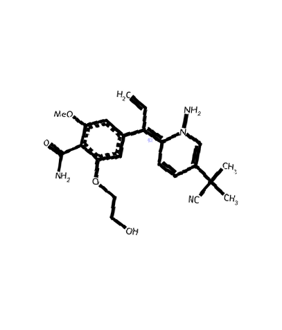 C=C/C(=C1/C=CC(C(C)(C)C#N)=CN1N)c1cc(OC)c(C(N)=O)c(OCCO)c1